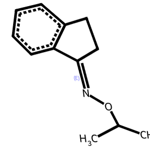 CC(C)O/N=C1\CCc2ccccc21